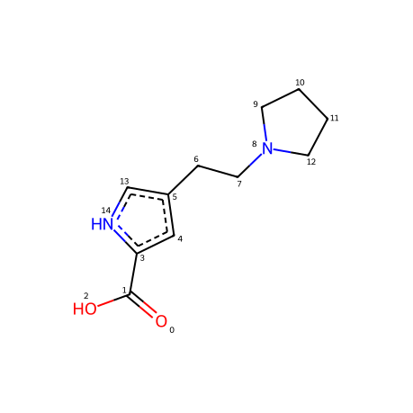 O=C(O)c1cc(CCN2CCCC2)c[nH]1